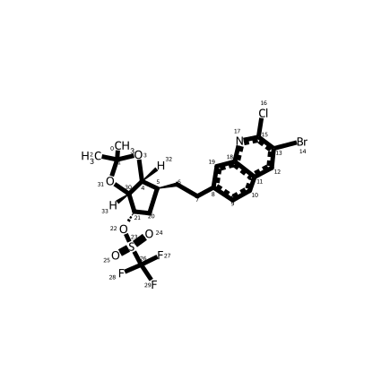 CC1(C)O[C@@H]2[C@@H](CCc3ccc4cc(Br)c(Cl)nc4c3)C[C@H](OS(=O)(=O)C(F)(F)F)[C@@H]2O1